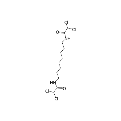 O=C(NCCCCCCCCNC(=O)C(Cl)Cl)C(Cl)Cl